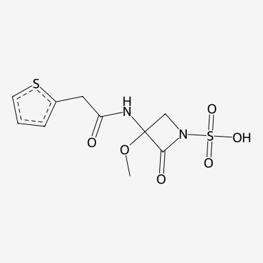 COC1(NC(=O)Cc2cccs2)CN(S(=O)(=O)O)C1=O